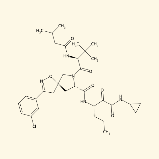 CCC[C@H](NC(=O)[C@@H]1C[C@]2(CC(c3cccc(Cl)c3)=NO2)CN1C(=O)[C@@H](NC(=O)CC(C)C)C(C)(C)C)C(=O)C(=O)NC1CC1